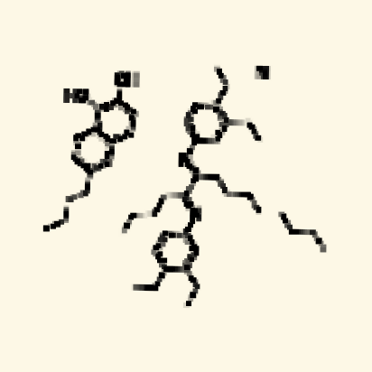 CCCCCCCCC(=Nc1ccc(CC)c(CC)c1)C(CCCCC)=Nc1ccc(CC)c(CC)c1.CCCCc1ccc2c(O)c(O)ccc2c1.[Ni]